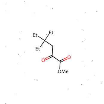 CCC(CC)(CC)CC(=O)C(=O)OC